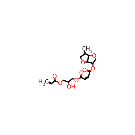 C=CC(=O)OCC(O)COC(=O)/C=C\C(=O)OC1COC2C(C)COC12